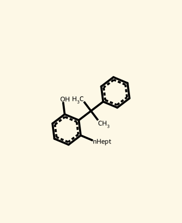 CCCCCCCc1cccc(O)c1C(C)(C)c1ccccc1